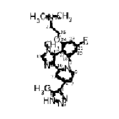 Cc1[nH]nnc1-c1ccnc(-c2ncn(C)c2-c2c(F)cc(F)cc2OCCN(C)C)c1